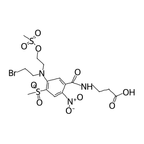 CS(=O)(=O)OCCN(CCBr)c1cc(C(=O)NCCCC(=O)O)c([N+](=O)[O-])cc1S(C)(=O)=O